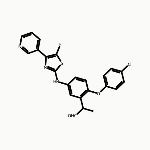 CC(C=O)c1cc(Nc2nc(-c3cccnc3)c(F)s2)ccc1Oc1ccc(Cl)cc1